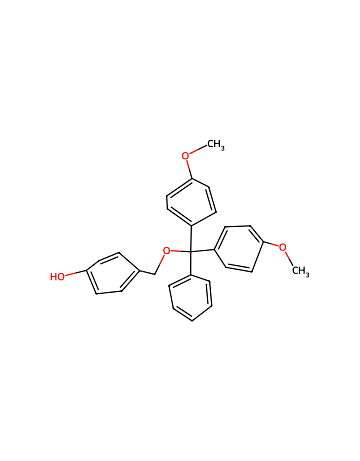 COc1ccc(C(OCc2ccc(O)cc2)(c2ccccc2)c2ccc(OC)cc2)cc1